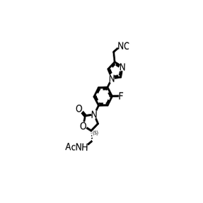 [C-]#[N+]Cc1cn(-c2ccc(N3C[C@H](CNC(C)=O)OC3=O)cc2F)cn1